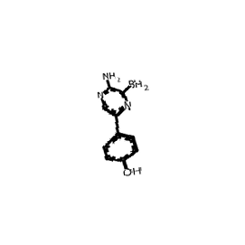 Bc1nc(-c2ccc(O)cc2)cnc1N